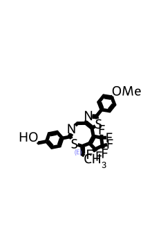 C/C=C1/SC(c2ccc(CO)cc2)=NCc2nc(-c3ccc(OC)cc3)sc2C2=C1C(F)(F)C(F)(F)C2(F)F